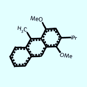 COc1c(C(C)C)cc(OC)c2c(C)c3ccccc3cc12